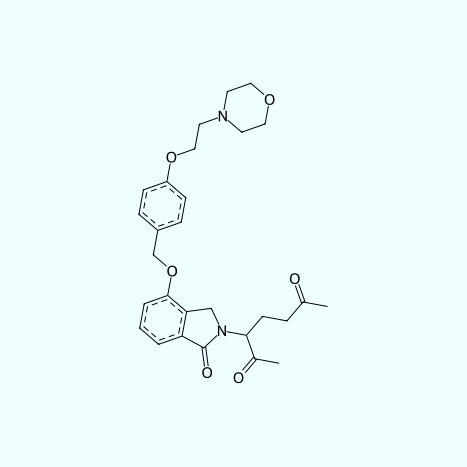 CC(=O)CCC(C(C)=O)N1Cc2c(OCc3ccc(OCCN4CCOCC4)cc3)cccc2C1=O